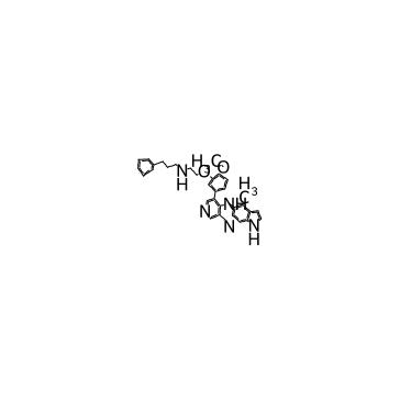 COc1ccc(-c2cncc(C#N)c2Nc2ccc3[nH]ccc3c2C)cc1OCCNCCCc1ccccc1